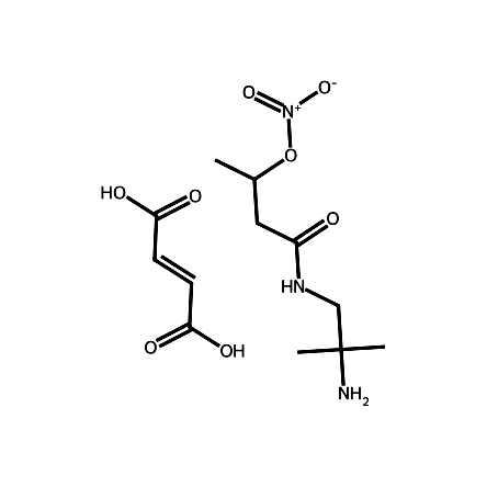 CC(CC(=O)NCC(C)(C)N)O[N+](=O)[O-].O=C(O)C=CC(=O)O